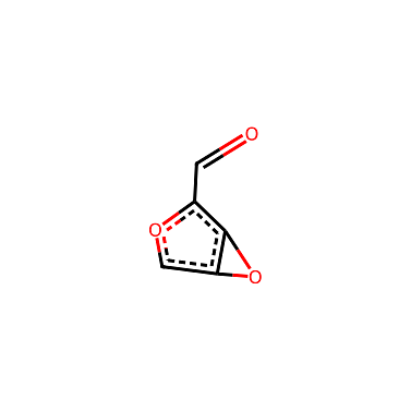 O=Cc1occ2c1O2